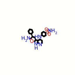 NC(=O)C(=Cc1c[nH]c2nccc(Nc3ccc(S(N)(=O)=O)cc3)c12)c1ccccc1